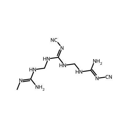 C/N=C(\N)NCN/C(=N\C#N)NCN/C(N)=N/C#N